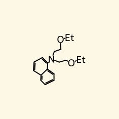 CCOCCN(CCOCC)c1cccc2ccccc12